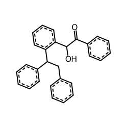 O=C(c1ccccc1)C(O)c1ccccc1C(Cc1ccccc1)c1ccccc1